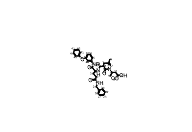 CC(C)CC(C(=O)NC(C=O)CC(=O)O)C(=O)NC(CCC(=O)NCc1ccccc1)C(=O)Nc1cccc(Oc2ccccc2)c1